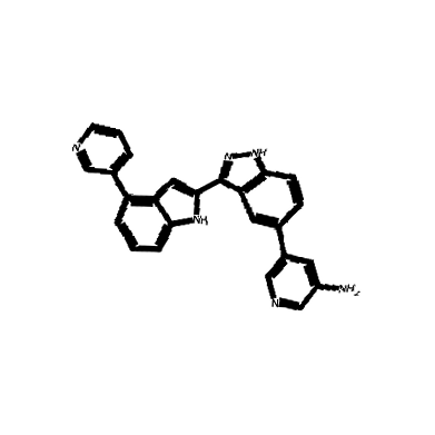 Nc1cncc(-c2ccc3[nH]nc(-c4cc5c(-c6cccnc6)cccc5[nH]4)c3c2)c1